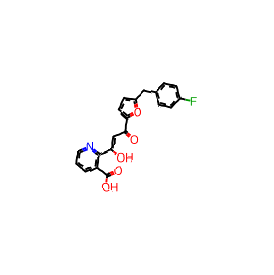 O=C(C=C(O)c1ncccc1C(=O)O)c1ccc(Cc2ccc(F)cc2)o1